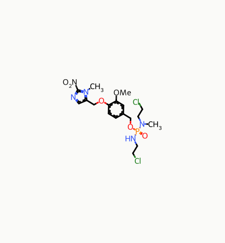 COc1cc(COP(=O)(NCCCl)N(C)CCCl)ccc1OCc1cnc([N+](=O)[O-])n1C